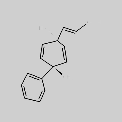 C[C@]1(C=CC(=O)O)C=C[C@](C)(c2ccccc2)C=C1